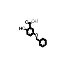 O=C(O)c1cc(OCc2ccccc2)ccc1O